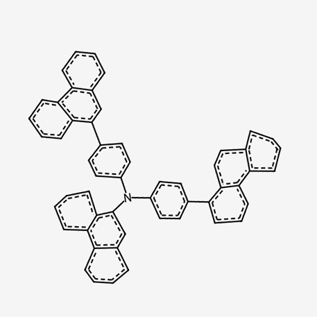 c1ccc2c(c1)ccc1c(-c3ccc(N(c4ccc(-c5cc6ccccc6c6ccccc56)cc4)c4cc5ccccc5c5ccccc45)cc3)cccc12